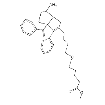 C=C(c1ccccc1)C12CCC(N)C1CC(CCCCOCCCCC(=O)OC)=C2c1ccccc1